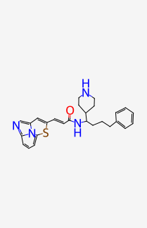 O=C(C=CC1=Cc2cnc3cccc(n23)S1)NC(CCCc1ccccc1)C1CCNCC1